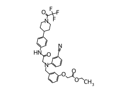 CCOC(=O)COc1cccc(CN(CC(=O)Nc2ccc(C3CCN(C(=O)C(F)(F)F)CC3)cc2)c2cccc(C#N)c2)c1